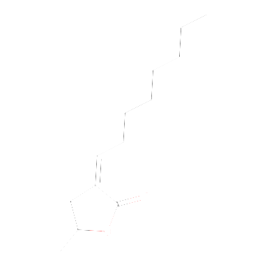 CCCCCCCC=C1CC(C)OC1=O